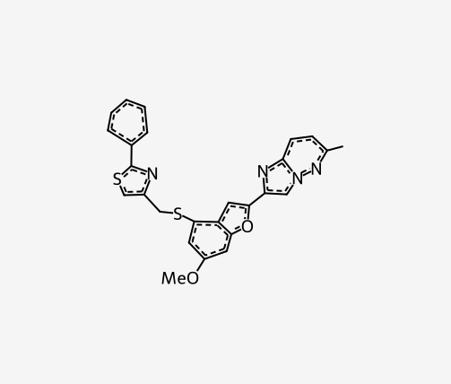 COc1cc(SCc2csc(-c3ccccc3)n2)c2cc(-c3cn4nc(C)ccc4n3)oc2c1